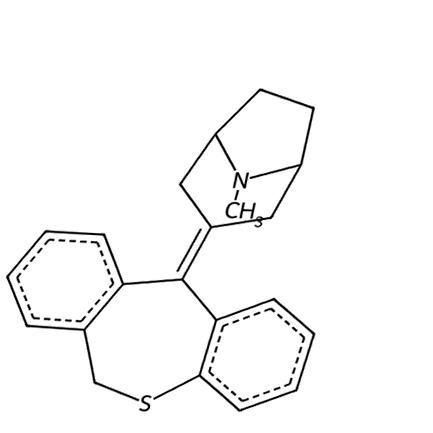 CN1C2CCC1CC(=C1c3ccccc3CSc3ccccc31)C2